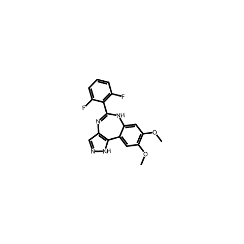 COc1cc2c(cc1OC)-c1[nH]ncc1N=C(c1c(F)cccc1F)N2